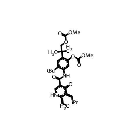 C/C=c1/[nH]cc(C(=O)Nc2cc(OC(=O)OC)c(C(C)(C)COC(=O)OC)cc2C(C)(C)C)c(=O)/c1=C/C(C)C